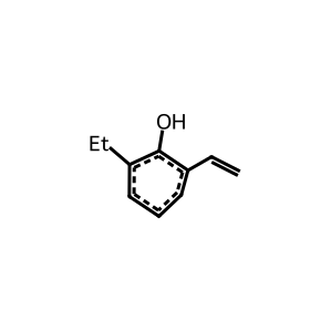 C=Cc1cccc(CC)c1O